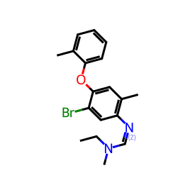 CCN(C)/C=N\c1cc(Br)c(Oc2ccccc2C)cc1C